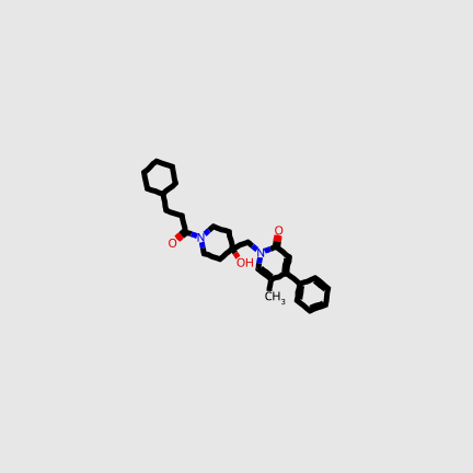 Cc1cn(CC2(O)CCN(C(=O)CCC3CCCCC3)CC2)c(=O)cc1-c1ccccc1